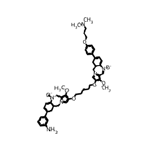 COc1c(OCCCCCOc2cn3c(c2OC)C=[N+]([O-])C2=CC=C(c4cccc(N)c4)CC2C3)cn2c1C=[N+]([O-])C1=CC=C(c3ccc(OCCCN(C)C)cc3)CC1C2